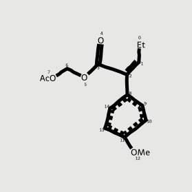 CCC=C(C(=O)OCOC(C)=O)c1ccc(OC)cc1